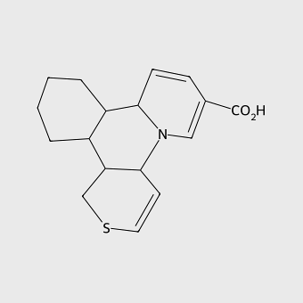 O=C(O)C1=CN2C(C=C1)C1CCCCC1C1CSC=CC12